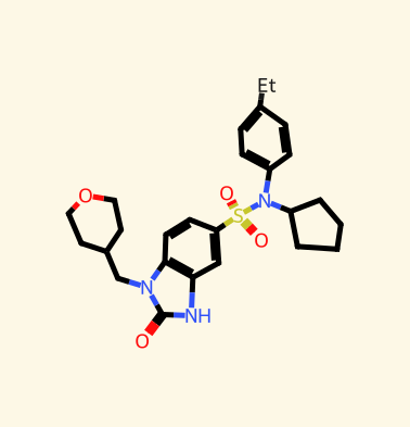 CCc1ccc(N(C2CCCC2)S(=O)(=O)c2ccc3c(c2)[nH]c(=O)n3CC2CCOCC2)cc1